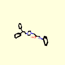 OC(CNc1ccccc1)CN1CCN(CCC(c2ccccc2)c2ccccc2)CC1